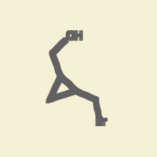 OCC1CC1CBr